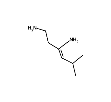 CC(C)C=C(N)CCN